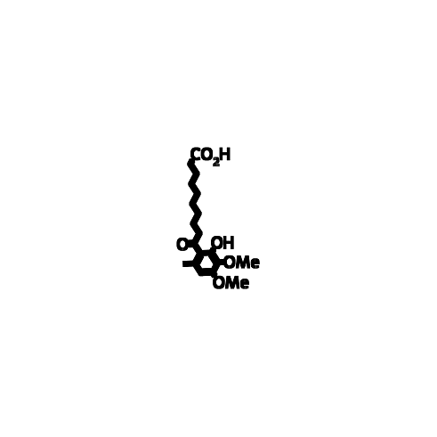 COc1cc(C)c(C(=O)CCCCCCCCC(=O)O)c(O)c1OC